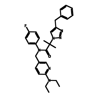 CCN(CC)c1ccc(CN(C(=O)C(C)(C)n2cc(Cc3ccccc3)nn2)c2ccc(F)cc2)cn1